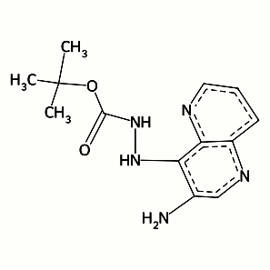 CC(C)(C)OC(=O)NNc1c(N)cnc2cccnc12